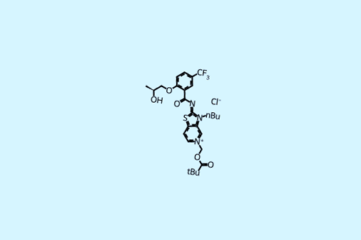 CCCCn1/c(=N/C(=O)c2cc(C(F)(F)F)ccc2OC[C@H](C)O)sc2cc[n+](COC(=O)C(C)(C)C)cc21.[Cl-]